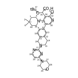 CC1(C)CCN(c2c(-c3ccc4c(c3)CCN(c3nccc(N5CCOCC5)n3)C4)cnc(Cl)c2C(OC(C)(C)C)C(=O)O)CC1